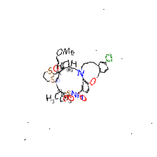 COCCO[C@@]1(C2SCCCS2)/C=C/C[C@H](C)[C@@H](C)S(=O)(=O)NC(=O)c2ccc3c(c2)N(CCCCc2cc(Cl)ccc2CO3)C[C@@H]2CC[C@H]21